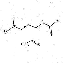 C[S+]([O-])CCCNC(O)=S.OC=S